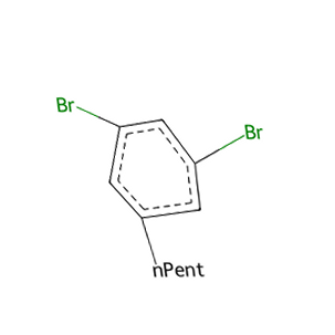 CCCCCc1cc(Br)cc(Br)c1